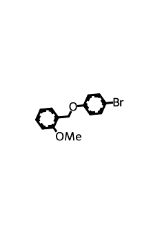 COc1ccccc1COc1ccc(Br)cc1